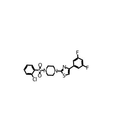 O=S(=O)(c1ccccc1Cl)N1CCN(c2nc(-c3cc(F)cc(F)c3)cs2)CC1